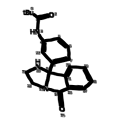 CC(C)(C)C(=O)Nc1cccc(C23NCCN2C(=O)c2ccccc23)c1